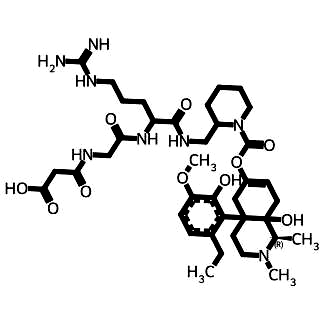 CCc1ccc(OC)c(O)c1C12CCN(C)[C@H](C)C1(O)CC=C(OC(=O)N1CCCCC1CNC(=O)C(CCCNC(=N)N)NC(=O)CNC(=O)CC(=O)O)C2